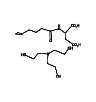 CCCCCCCCCCCCCC(=O)NC(CC(=O)O)C(=O)O.OCCN(CCO)CCO